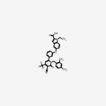 CCn1c(C(=O)O)cc2cc(Oc3cccc(-c4cc(C(F)(F)F)c(C#N)c(=O)n4Cc4ccc(C)cc4C)c3)ccc21